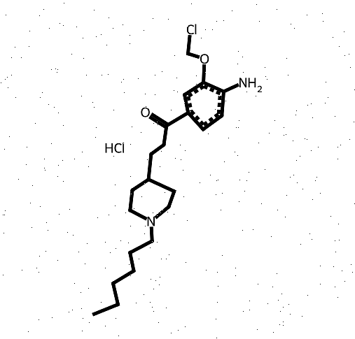 CCCCCCN1CCC(CCC(=O)c2ccc(N)c(OCCl)c2)CC1.Cl